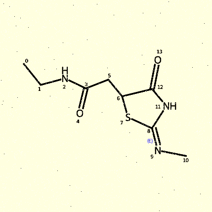 CCNC(=O)CC1S/C(=N/C)NC1=O